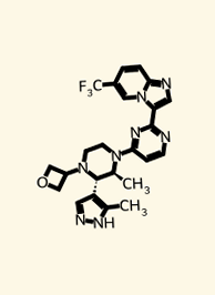 Cc1[nH]ncc1[C@H]1[C@H](C)N(c2ccnc(-c3cnc4ccc(C(F)(F)F)cn34)n2)CCN1C1COC1